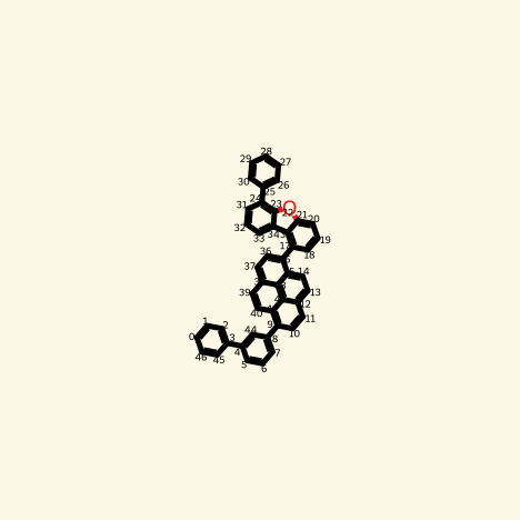 c1ccc(-c2cccc(-c3ccc4ccc5c(-c6cccc7oc8c(-c9ccccc9)cccc8c67)ccc6ccc3c4c65)c2)cc1